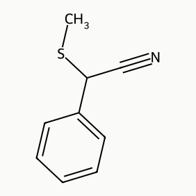 CSC(C#N)c1ccccc1